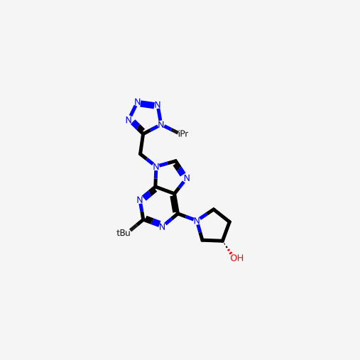 CC(C)n1nnnc1Cn1cnc2c(N3CC[C@H](O)C3)nc(C(C)(C)C)nc21